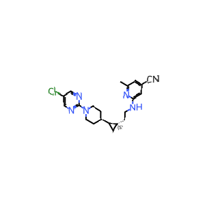 Cc1cc(C#N)cc(NCC[C@@H]2CC2C2CCN(c3ncc(Cl)cn3)CC2)n1